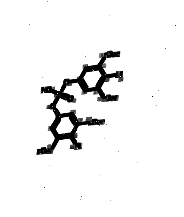 CCCCCCCCCCc1cc(OP(=O)(O)Oc2cc(CCCCCCCCCC)c(CC)c(CCCCCCCCCC)c2)cc(CCCCCCCCCC)c1CC